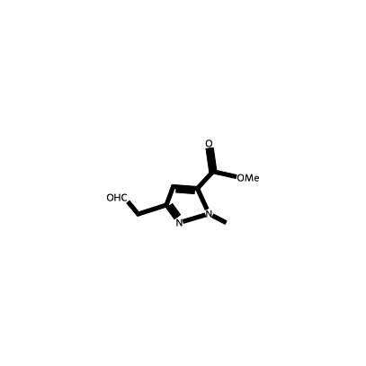 COC(=O)c1cc(CC=O)nn1C